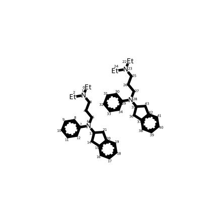 CCN(CC)CCCN(c1ccccc1)C1Cc2ccccc2C1.CCN(CC)CCCN(c1ccccc1)C1Cc2ccccc2C1